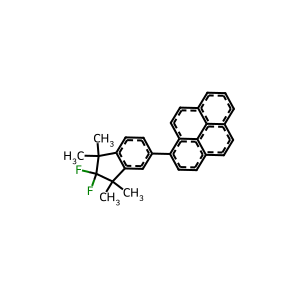 CC1(C)c2ccc(-c3ccc4ccc5cccc6ccc3c4c56)cc2C(C)(C)C1(F)F